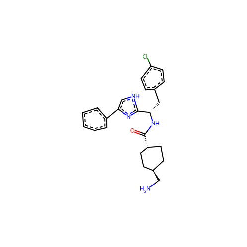 NC[C@H]1CC[C@H](C(=O)N[C@@H](Cc2ccc(Cl)cc2)c2nc(-c3ccccc3)c[nH]2)CC1